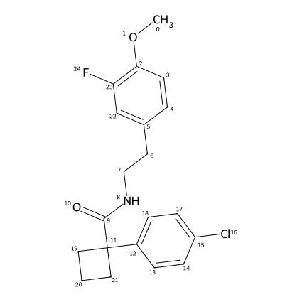 COc1ccc(CCNC(=O)C2(c3ccc(Cl)cc3)CCC2)cc1F